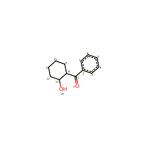 O=C(c1ccccc1)C1CCCCC1O